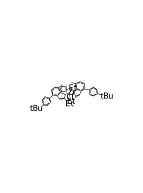 CCC1=Cc2c(-c3ccc(C(C)(C)C)cc3)ccc(C)c2[CH]1[Zr]([Cl])([Cl])([CH2]C)[CH]1C(CC)=Cc2c(-c3ccc(C(C)(C)C)cc3)ccc(C)c21